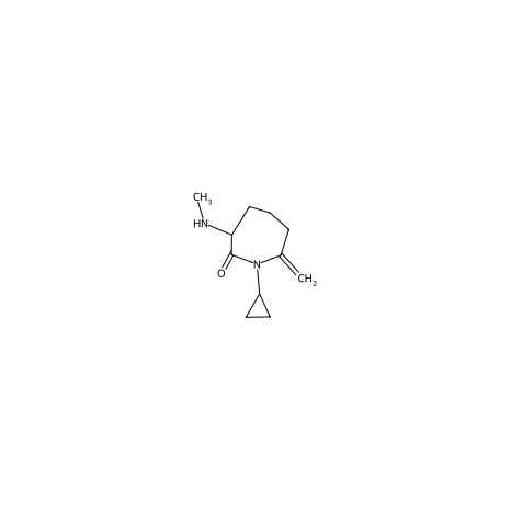 C=C1CCCC(NC)C(=O)N1C1CC1